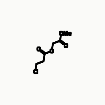 COC(=O)COC(=O)CCCl